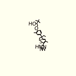 CCC(CC)(c1ccc(OCC(O)C(C)(C)C)c(C)c1)c1cc(C)c(-c2nnn[nH]2)s1